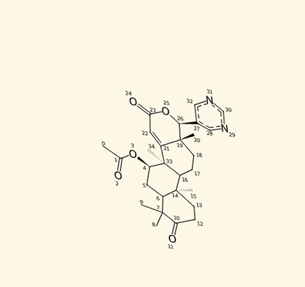 CC(=O)O[C@@H]1CC2C(C)(C)C(=O)CC[C@]2(C)C2CC[C@]3(C)C(=CC(=O)O[C@H]3c3cncnc3)[C@@]21C